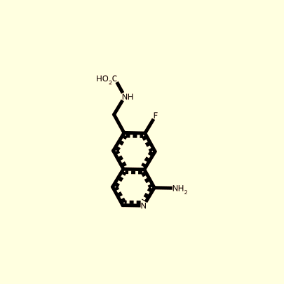 Nc1nccc2cc(CNC(=O)O)c(F)cc12